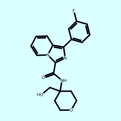 O=C(NC1(CO)CCOCC1)c1nc(-c2cccc(F)c2)c2ccccn12